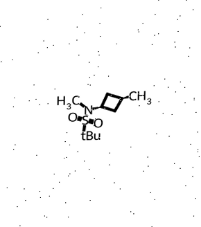 CN([C@H]1C[C@@H](C)C1)S(=O)(=O)C(C)(C)C